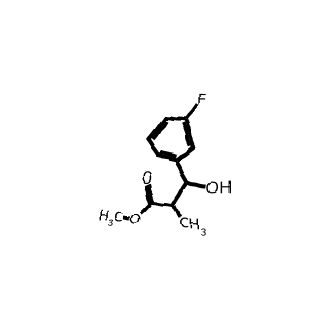 COC(=O)C(C)C(O)c1cccc(F)c1